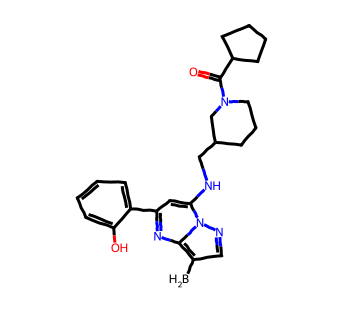 Bc1cnn2c(NCC3CCCN(C(=O)C4CCCC4)C3)cc(-c3ccccc3O)nc12